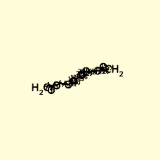 C=CC(=O)COC/C=C/Oc1ccc(-c2ccc(O/C=C/COCC(=O)C=C)cc2)cc1